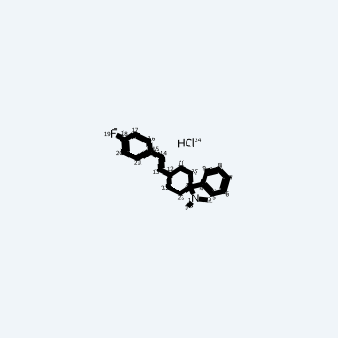 CN(C)C1(c2ccccc2)CCC(C=Cc2ccc(F)cc2)CC1.Cl